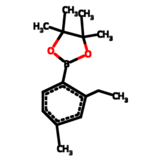 CCc1cc(C)ccc1B1OC(C)(C)C(C)(C)O1